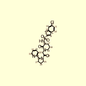 O=C1[C@@H](NS(=O)(=O)c2cc3ccc(Cl)cc3s2)CCCN1CC(=O)N1CCCC1c1ccccn1